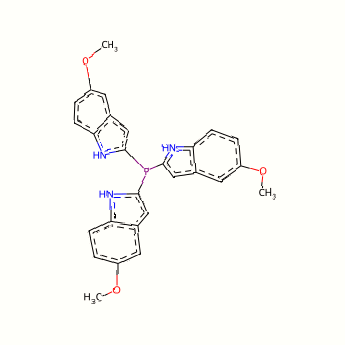 COc1ccc2[nH]c(P(c3cc4cc(OC)ccc4[nH]3)c3cc4cc(OC)ccc4[nH]3)cc2c1